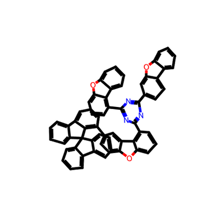 c1ccc2c(c1)-c1ccccc1C21c2ccccc2-c2cccc(-c3ccc4oc5cccc(-c6nc(-c7ccc8c(c7)oc7ccccc78)nc(-c7cccc8oc9ccccc9c78)n6)c5c4c3)c21